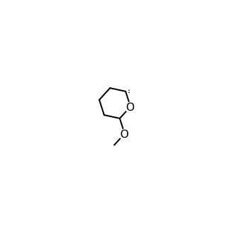 COC1CCC[C]O1